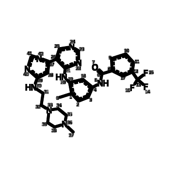 Cc1ccc(NC(=O)c2cccc(C(F)(F)F)c2)cc1Nc1ncncc1-c1cc(NCCN2CCN(C)CC2)ncn1